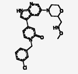 CONCC1CN(c2cnc3[nH]cc(-c4ccn(Cc5cccc(Cl)c5)c(=O)c4)c3c2)CCO1